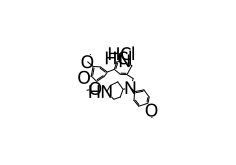 COc1ccc(N(Cc2cncc(-c3cc(OC)c(OC)c(OC)c3)c2)C2CCNCC2)cc1.Cl.Cl